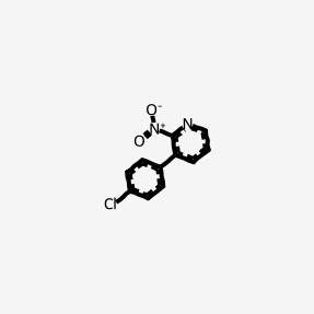 O=[N+]([O-])c1ncccc1-c1ccc(Cl)cc1